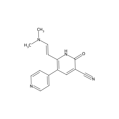 CN(C)/C=C/c1[nH]c(=O)c(C#N)cc1-c1ccncc1